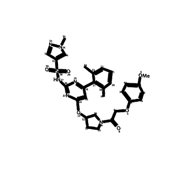 COc1ccc(OCC(=O)N2CCC(Oc3cc(-c4c(C)cccc4C)nc(NS(=O)(=O)c4cnn(C)c4)n3)C2)cc1